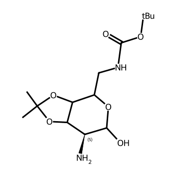 CC(C)(C)OC(=O)NCC1OC(O)[C@@H](N)C2OC(C)(C)OC12